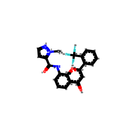 Cn1nccc1C(=O)Nc1cccc2c(=O)cc(-c3ccccc3C(F)(F)F)oc12